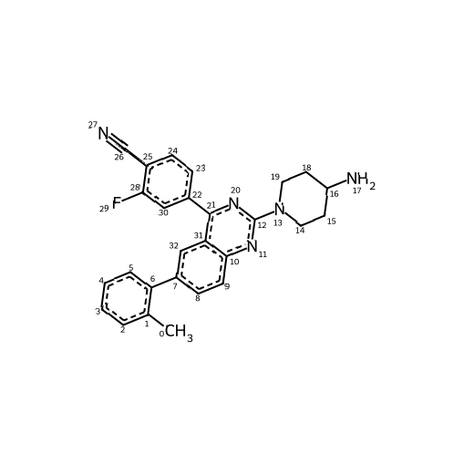 Cc1ccccc1-c1ccc2nc(N3CCC(N)CC3)nc(-c3ccc(C#N)c(F)c3)c2c1